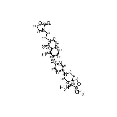 C[C@@H]1OCC2(CCN(c3cnc(Sc4ccc5ncn(CCN6CCOC6=O)c(=O)c5c4Cl)cn3)CC2)[C@@H]1N